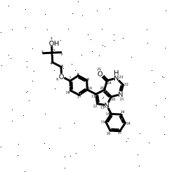 CC(C)(O)CCOc1ccc(-c2cn(-c3ccccc3)c3nc[nH]c(=O)c23)cc1